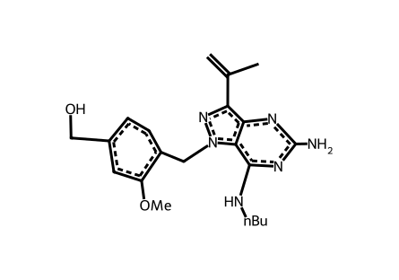 C=C(C)c1nn(Cc2ccc(CO)cc2OC)c2c(NCCCC)nc(N)nc12